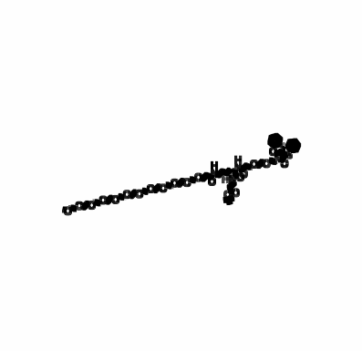 COCCOCCOCCOCCOCCOCCOCCOCCOCCOCCOCCOCCC(=O)NCCCC[C@H](NC(=O)CCOCCOCCN1C(=O)C(Sc2ccccc2)=C(Sc2ccccc2)C1=O)C(=O)NCCC(=O)OC(C)(C)C